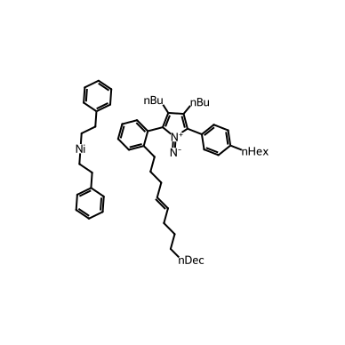 CCCCCCCCCCCCCC=CCCCc1ccccc1C1=C(CCCC)C(CCCC)=C(c2ccc(CCCCCC)cc2)[N+]1=[N-].c1ccc(C[CH2][Ni][CH2]Cc2ccccc2)cc1